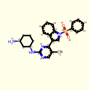 N#Cc1cnc(N[C@@H]2CCC[C@H](N)C2)nc1-c1cn(S(=O)(=O)c2ccccc2)c2ccccc12